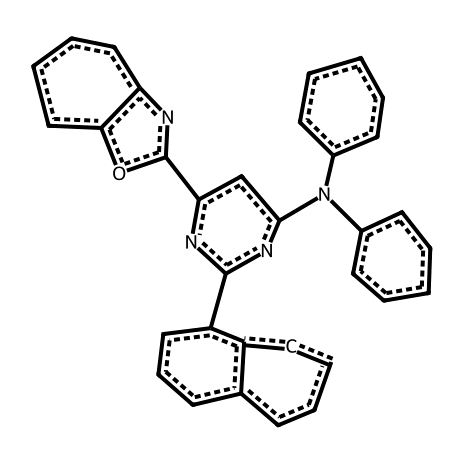 c1ccc(N(c2ccccc2)c2cc(-c3nc4ccccc4o3)nc(-c3cccc4ccccc34)n2)cc1